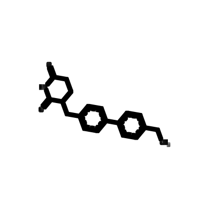 CCc1ccc(-c2ccc(CC3CCC(=O)NC3=O)cc2)cc1